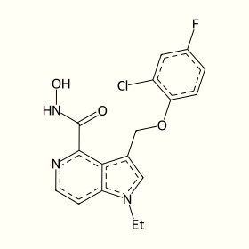 CCn1cc(COc2ccc(F)cc2Cl)c2c(C(=O)NO)nccc21